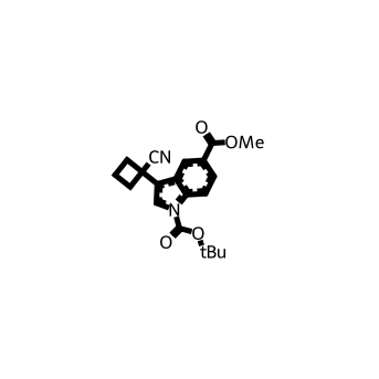 COC(=O)c1ccc2c(c1)c(C1(C#N)CCC1)cn2C(=O)OC(C)(C)C